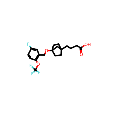 O=C(O)CCCC12CCC(OCc3cc(F)ccc3OC(F)(F)F)(CC1)C2